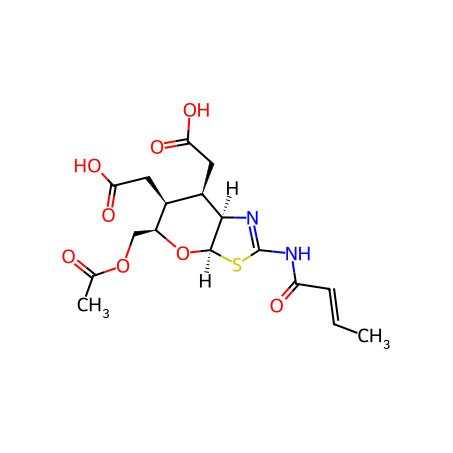 CC=CC(=O)NC1=N[C@@H]2[C@H](CC(=O)O)[C@H](CC(=O)O)[C@H](COC(C)=O)O[C@@H]2S1